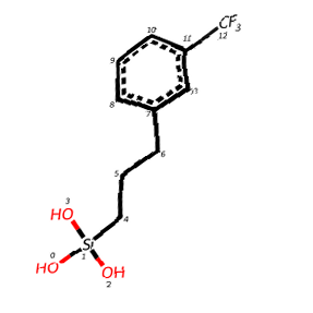 O[Si](O)(O)CCCc1cccc(C(F)(F)F)c1